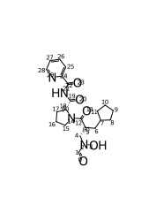 O=CN(O)C[C@@H](CC1CCCC1)C(=O)N1CCC[C@@H]1C(=O)NC(=O)c1ccccn1